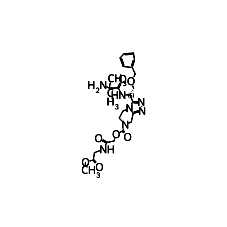 COC(=O)CNC(=O)COC(=O)N1CCn2c(nnc2[C@@H](COCc2ccccc2)NC(=O)C(C)(C)N)C1